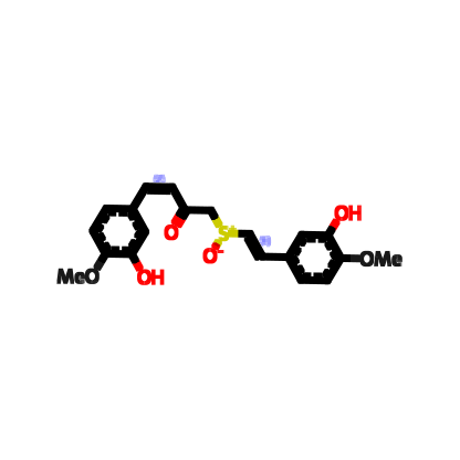 COc1ccc(/C=C\C(=O)C[S+]([O-])/C=C/c2ccc(OC)c(O)c2)cc1O